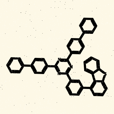 c1ccc(-c2ccc(-c3nc(-c4ccc(-c5ccccc5)cc4)nc(-c4cccc(-c5cccc6sc7ccccc7c56)c4)n3)cc2)cc1